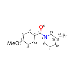 COC1CCC(C(=O)N2CCC[C@@H](C(C)C)C2)CC1